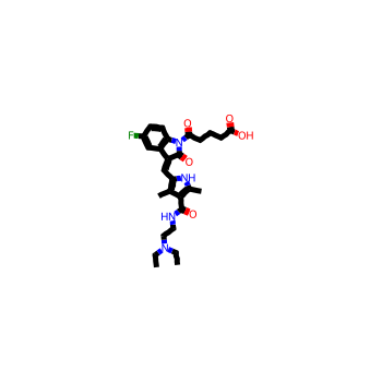 CCN(CC)CCNC(=O)c1c(C)[nH]c(/C=C2\C(=O)N(C(=O)CCCC(=O)O)c3ccc(F)cc32)c1C